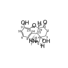 O=C1CCC2(O)[C@H]3Cc4ccc(O)c5c4[C@@]2(CCN3)[C@@H]1O5